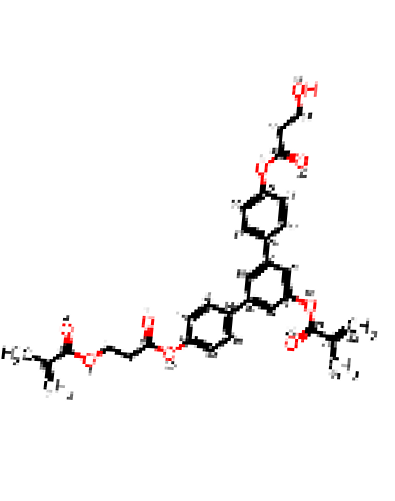 C=C(C)C(=O)OCCC(=O)Oc1ccc(-c2cc(OC(=O)C(=C)C)cc(-c3ccc(OC(=O)CCO)cc3)c2)cc1